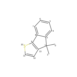 CC1(C)c2ccccc2-c2sccc21